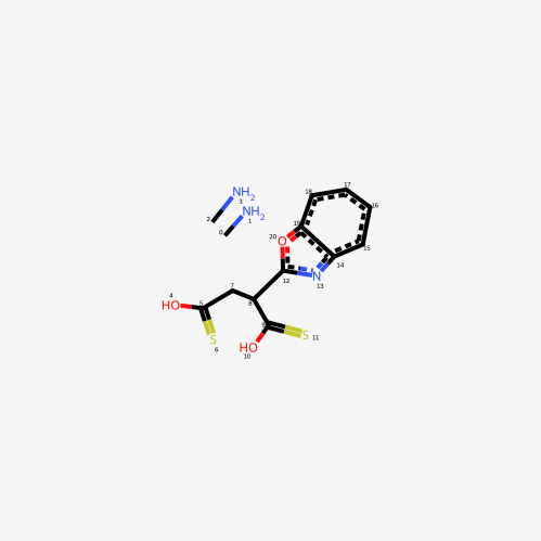 CN.CN.OC(=S)CC(C(O)=S)c1nc2ccccc2o1